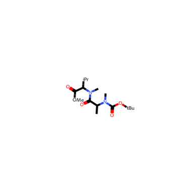 COC(=O)C(C(C)C)N(C)C(=O)C(C)N(C)C(=O)OC(C)(C)C